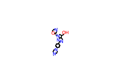 CN1CCN(c2ccc(-c3ncc4c(n3)N(C[C@H]3CN(C)CCO3)CC4CO)cc2)CC1